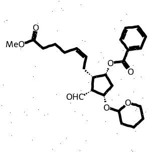 COC(=O)CCC/C=C\C[C@H]1[C@@H](C=O)[C@@H](OC2CCCCO2)C[C@H]1OC(=O)c1ccccc1